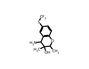 CC1Oc2ccc(SC(F)(F)F)cc2C(N)C1(C)O